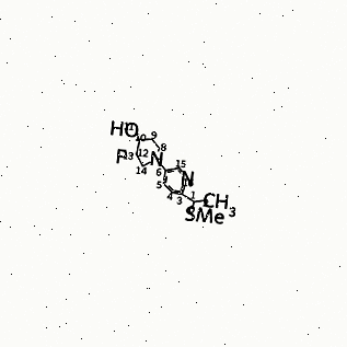 CSC(C)c1ccc(N2CC[C@@H](O)[C@@H](F)C2)cn1